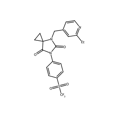 CCc1cc(CN2C(=O)N(c3ccc(S(=O)(=O)C(F)(F)F)cc3)C(=O)C23CC3)ccn1